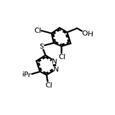 CC(C)c1cc(Sc2c(Cl)cc(CO)cc2Cl)nnc1Cl